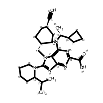 C#C[C@H]1CC[C@H](Cn2c(N3CCCCC3C(C)C)nc3nc(C(=O)O)nc(N[C@H](C)C4CCC4)c32)CC1